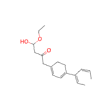 C/C=C\C(=C/C)C1=CC=C(CC(=O)CC(O)OCC)CC1